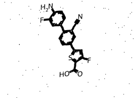 N#Cc1cc(-c2cc(F)c(C(=O)O)s2)ccc1-c1ccc(N)c(F)c1